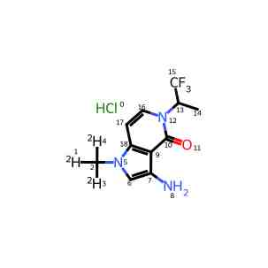 Cl.[2H]C([2H])([2H])n1cc(N)c2c(=O)n(C(C)C(F)(F)F)ccc21